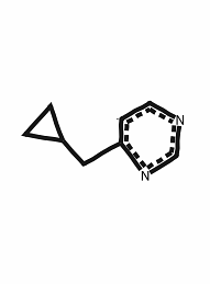 [c]1cncnc1CC1CC1